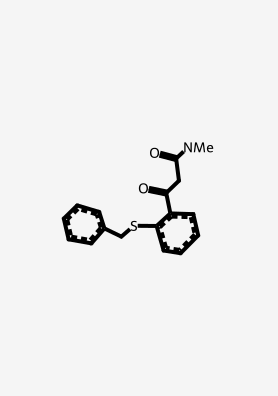 CNC(=O)CC(=O)c1ccccc1SCc1ccccc1